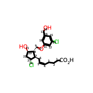 O=C(O)CCC/C=C\C[C@@H]1[C@@H](COc2cc(Cl)cc(CO)c2)[C@H](O)C[C@H]1Cl